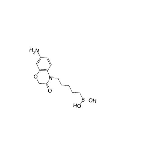 Nc1ccc2c(c1)OCC(=O)N2CCCCCB(O)O